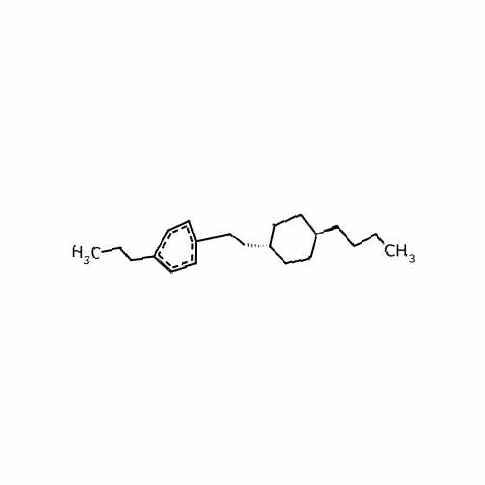 CCCC[C@H]1CC[C@H](CCc2ccc(CCC)cc2)CC1